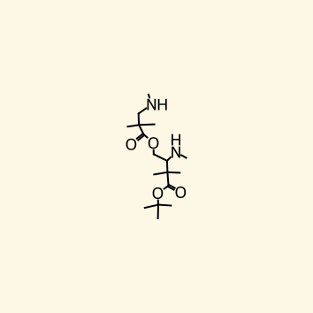 CNCC(C)(C)C(=O)OCC(NC)C(C)(C)C(=O)OC(C)(C)C